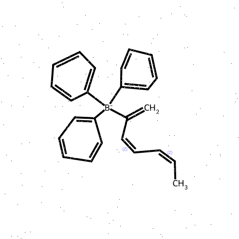 C=C(/C=C\C=C/C)[B-](c1ccccc1)(c1ccccc1)c1ccccc1